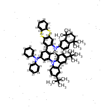 Cc1cc2c(cc1N1B3c4c(cc(N(c5ccccc5)c5ccccc5)cc4-n4c5ccc(C(C)(C)C)cc5c5cc(C(C)(C)C)cc3c54)-c3cc4c(cc31)Sc1ccccc1S4)C(C)(C)CCC2(C)C